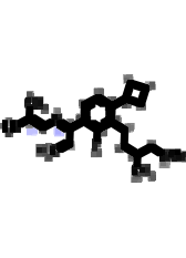 C=C/C(=N\C=C(/C)N)c1ccc(C2CCC2)c(CCC(C)CNC)c1F